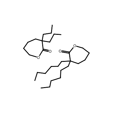 CCCC1(CCC)CCCCOC1=O.CCCCCCC1(CCCCCC)CCCCOC1=O